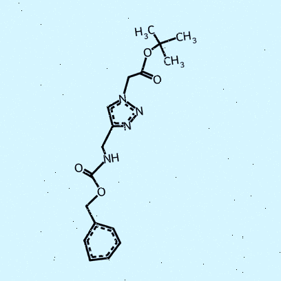 CC(C)(C)OC(=O)Cn1cc(CNC(=O)OCc2ccccc2)nn1